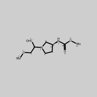 CC(C)(C)OCC(C=O)N1CC[C@H](NC(=O)OC(C)(C)C)C1